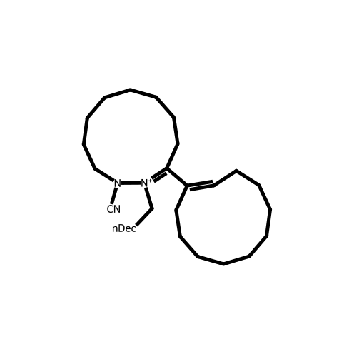 CCCCCCCCCCC/[N+]1=C(\C2=C/CCCCCCCCC2)CCCCCCCCN1C#N